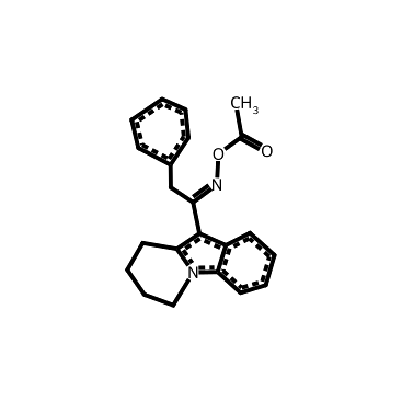 CC(=O)O/N=C(\Cc1ccccc1)c1c2n(c3ccccc13)CCCC2